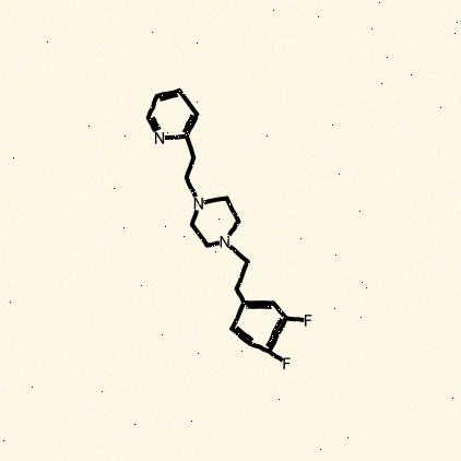 Fc1ccc(CCN2CCN(CCc3ccccn3)CC2)cc1F